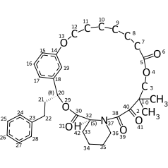 CC1(C)COC(=O)CCCCCCOc2cccc(c2)[C@@H](CCc2ccccc2)OC(=O)[C@@H]2CCCCN2C(=O)C1=O